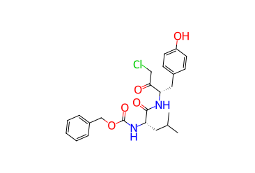 CC(C)C[C@H](NC(=O)OCc1ccccc1)C(=O)N[C@@H](Cc1ccc(O)cc1)C(=O)CCl